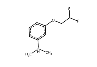 C[SH](C)c1cccc(OCC(F)F)c1